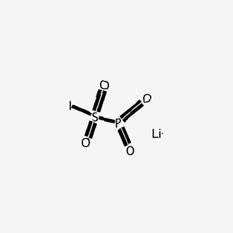 O=P(=O)S(=O)(=O)I.[Li]